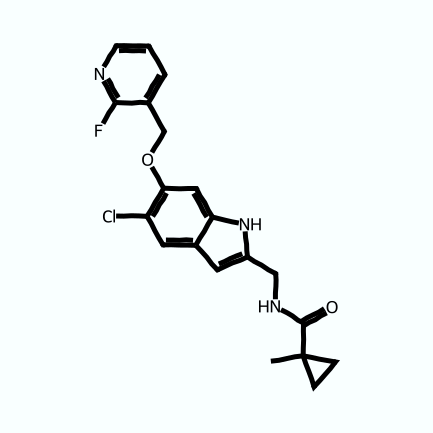 CC1(C(=O)NCc2cc3cc(Cl)c(OCc4cccnc4F)cc3[nH]2)CC1